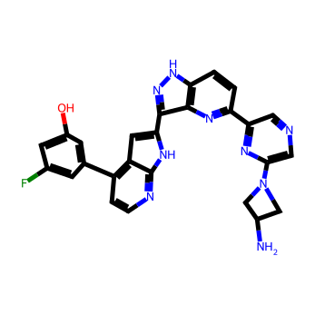 NC1CN(c2cncc(-c3ccc4[nH]nc(-c5cc6c(-c7cc(O)cc(F)c7)ccnc6[nH]5)c4n3)n2)C1